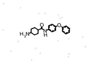 NC1CCC(C(=O)Nc2ccc(Oc3ccccc3)cc2)CC1